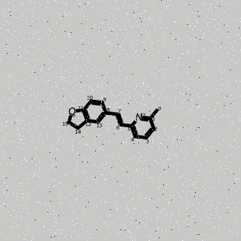 Cc1cccc(C=Cc2ccc3c(c2)CCO3)n1